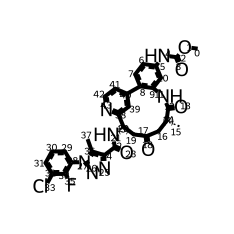 COC(=O)Nc1ccc2c(c1)NC(=O)[C@H](C)CC(=O)C[C@H](NC(=O)c1nnn(-c3cccc(Cl)c3F)c1C)c1cc-2ccn1